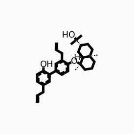 C=CCc1ccc(O)c(-c2ccc(O[C@]3(C)CCC[C@]4(C)CC[C@@H](C(C)(C)O)C[C@H]43)c(CC=C)c2)c1